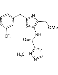 COCc1nc(Cc2cccc(C(F)(F)F)c2)sc1NC(=O)c1ccnn1C